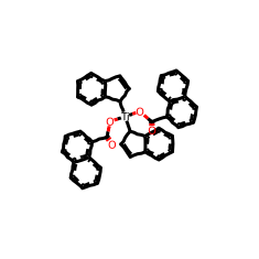 O=C([O][Ti]([O]C(=O)c1cccc2ccccc12)([CH]1C=Cc2ccccc21)[CH]1C=Cc2ccccc21)c1cccc2ccccc12